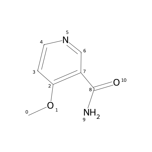 COc1ccncc1C(N)=O